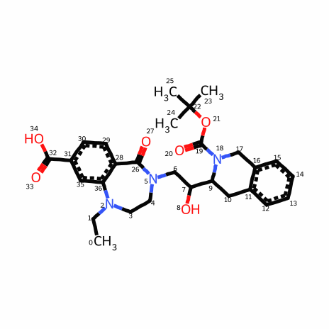 CCN1CCN(CC(O)C2Cc3ccccc3CN2C(=O)OC(C)(C)C)C(=O)c2ccc(C(=O)O)cc21